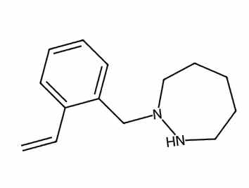 C=Cc1ccccc1CN1CCCCCN1